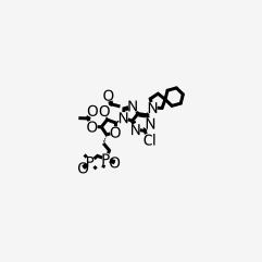 CC(=O)OC1[C@@H](CCP(C)(=O)CP(C)(C)=O)O[C@@H](n2cnc3c(N4CCC5(CCCCC5)C4)nc(Cl)nc32)[C@H]1OC(C)=O